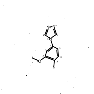 COc1cc(-n2cnnc2)ccc1C